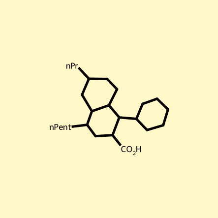 CCCCCC1CC(C(=O)O)C(C2CCCCC2)C2CCC(CCC)CC12